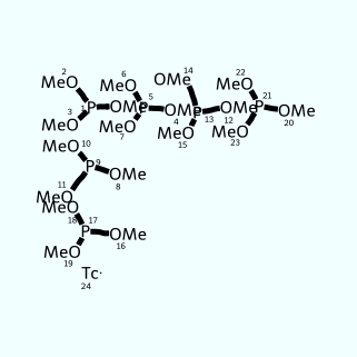 COP(OC)OC.COP(OC)OC.COP(OC)OC.COP(OC)OC.COP(OC)OC.COP(OC)OC.[Tc]